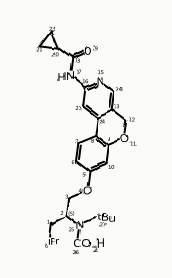 CC(C)C[C@@H](COc1ccc2c(c1)OCc1cnc(NC(=O)C3CC3)cc1-2)N(C(=O)O)C(C)(C)C